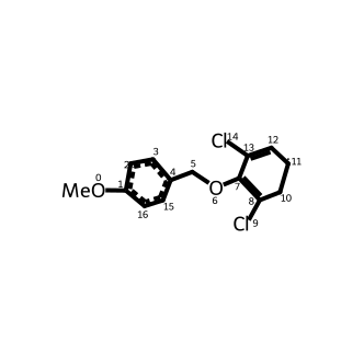 COc1ccc(COC2=C(Cl)C[CH]C=C2Cl)cc1